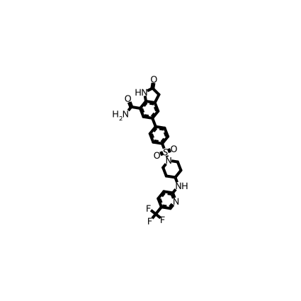 NC(=O)c1cc(-c2ccc(S(=O)(=O)N3CCC(Nc4ccc(C(F)(F)F)cn4)CC3)cc2)cc2c1NC(=O)C2